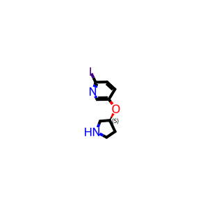 Ic1ccc(O[C@H]2CCNC2)cn1